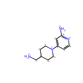 NCC1CCN(c2ccnc(N)c2)CC1